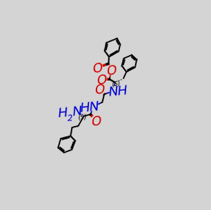 N[C@@H](CCc1ccccc1)C(=O)NCC(=O)N[C@@H](Cc1ccccc1)C(=O)OC(=O)c1ccccc1